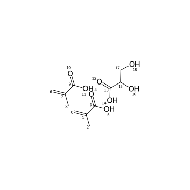 C=C(C)C(=O)O.C=C(C)C(=O)O.O=C(O)C(O)CO